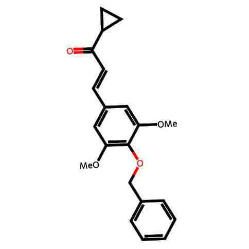 COc1cc(C=CC(=O)C2CC2)cc(OC)c1OCc1ccccc1